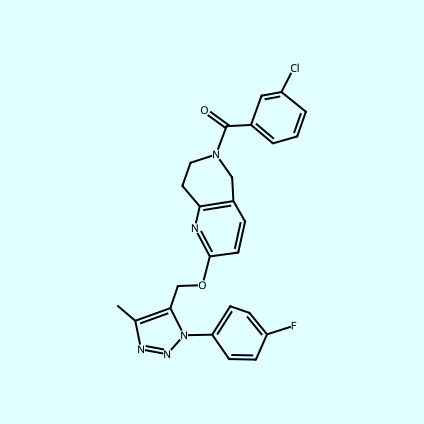 Cc1nnn(-c2ccc(F)cc2)c1COc1ccc2c(n1)CCN(C(=O)c1cccc(Cl)c1)C2